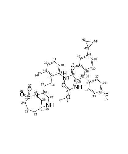 COC(=O)N[C@H](C(=O)Nc1cccc(F)c1CCC1CNC2CCCS(=O)(=O)N1C2)[C@@H](c1ccc(F)cc1)c1ccc(C2CC2)cc1